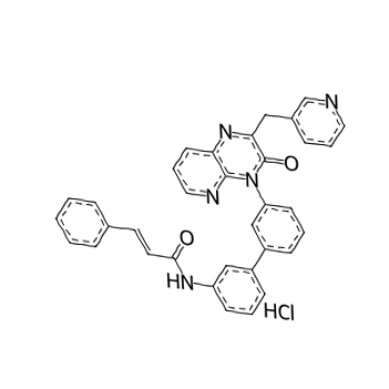 Cl.O=C(C=Cc1ccccc1)Nc1cccc(-c2cccc(-n3c(=O)c(Cc4cccnc4)nc4cccnc43)c2)c1